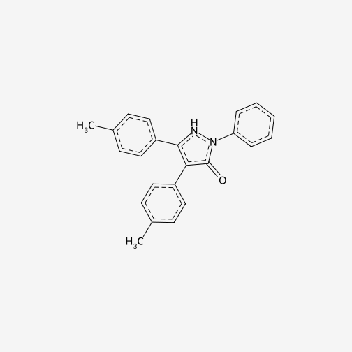 Cc1ccc(-c2[nH]n(-c3ccccc3)c(=O)c2-c2ccc(C)cc2)cc1